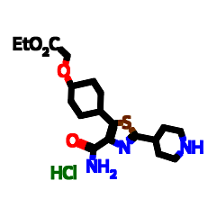 CCOC(=O)COC1CCC(c2sc(C3CCNCC3)nc2C(N)=O)CC1.Cl